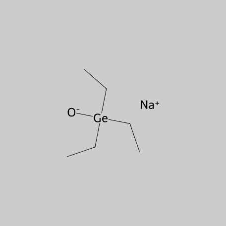 C[CH2][Ge]([O-])([CH2]C)[CH2]C.[Na+]